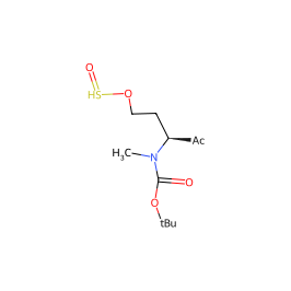 CC(=O)[C@H](CCO[SH]=O)N(C)C(=O)OC(C)(C)C